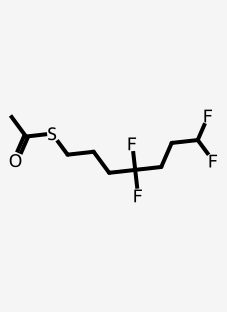 CC(=O)SCCCC(F)(F)CCC(F)F